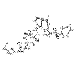 COc1nsc(NC(=O)N[C@H]2C[C@@H]3C[C@@H](n4cnc5cnc6c(ccn6S(=O)(=O)c6ccccc6)c54)C[C@@H]3C2)n1